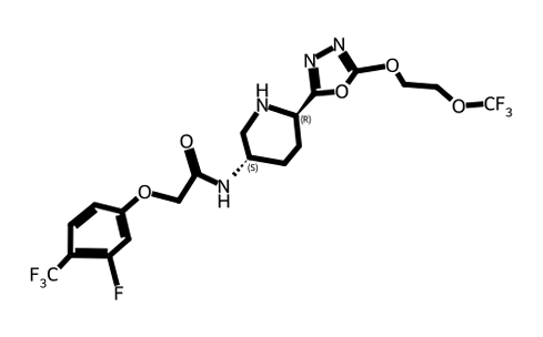 O=C(COc1ccc(C(F)(F)F)c(F)c1)N[C@H]1CC[C@H](c2nnc(OCCOC(F)(F)F)o2)NC1